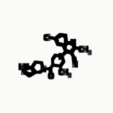 Cc1nc2ccc(Cl)cc2c(N2CC[C@H](C(=O)N3CCc4[nH]ncc4C3)[C@H](C)C2)c1C#N